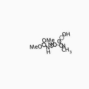 COc1cc(Nc2cc3cc(-c4cc(C)ncc4OC4CCC(O)CC4)ccn3n2)cc(OC)c1